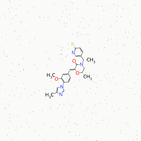 COc1cc(C=C2O[C@@H](C)CN([C@@H](C)c3ccc(F)nc3)C2=O)ccc1-n1cnc(C)c1